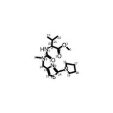 COC(=O)[C@@H](NC(=O)N(C)Cc1csc(N2CCCC2)n1)C(C)C